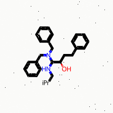 CC(C)CNC([C@H](O)CCc1ccccc1)N(Cc1ccccc1)Cc1ccccc1